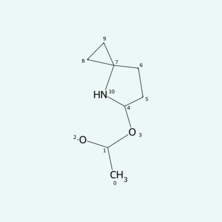 CC([O])OC1CCC2(CC2)N1